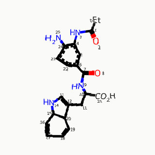 CCC(=O)Nc1cc(C(=O)NC(CC2=CNC3C=CC=CC23)C(=O)O)ccc1N